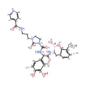 O=C(NCCCN1CCN(C(=O)NC(C(=O)N[C@H]2Cc3ccc(F)c(C(=O)O)c3OB2O)c2cc(F)c(O)c(O)c2Cl)C1=O)c1ccncc1